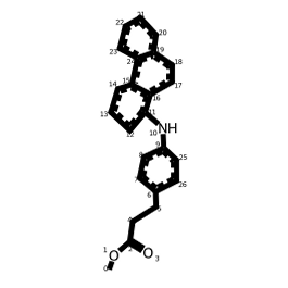 COC(=O)CCc1ccc(Nc2cccc3c2ccc2ccccc23)cc1